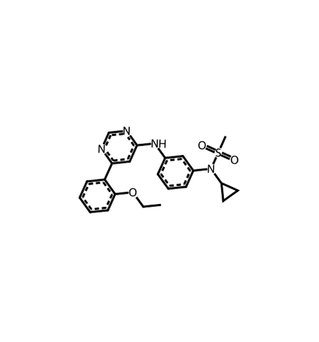 CCOc1ccccc1-c1cc(Nc2cccc(N(C3CC3)S(C)(=O)=O)c2)ncn1